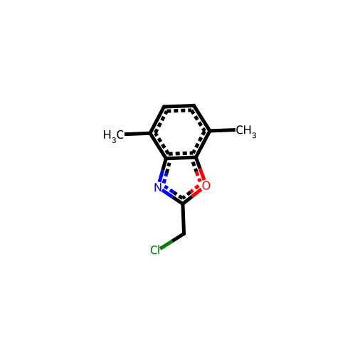 Cc1ccc(C)c2oc(CCl)nc12